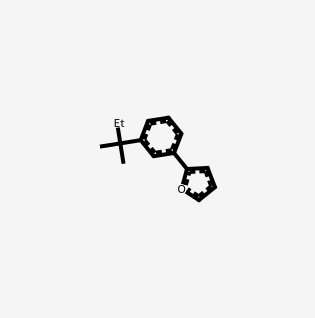 CCC(C)(C)c1cccc(-c2ccco2)c1